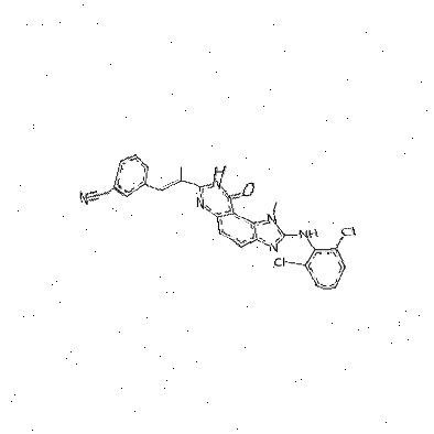 CC(=Cc1cccc(C#N)c1)c1nc2ccc3nc(Nc4c(Cl)cccc4Cl)n(C)c3c2c(=O)[nH]1